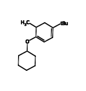 CC1CC(C(C)(C)C)=CC=C1OC1CCCCC1